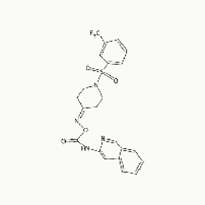 O=C(Nc1cc2ccccc2cn1)ON=C1CCN(S(=O)(=O)c2cccc(C(F)(F)F)c2)CC1